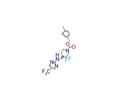 Cc1ccc(COC(=O)N2CC[C@H](CNc3ncc(C(F)(F)F)cn3)C(F)(F)C2)cc1